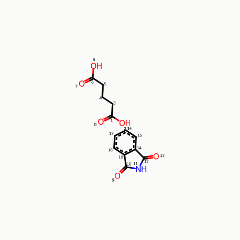 O=C(O)CCCC(=O)O.O=C1NC(=O)c2ccccc21